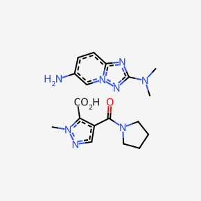 CN(C)c1nc2ccc(N)cn2n1.Cn1ncc(C(=O)N2CCCC2)c1C(=O)O